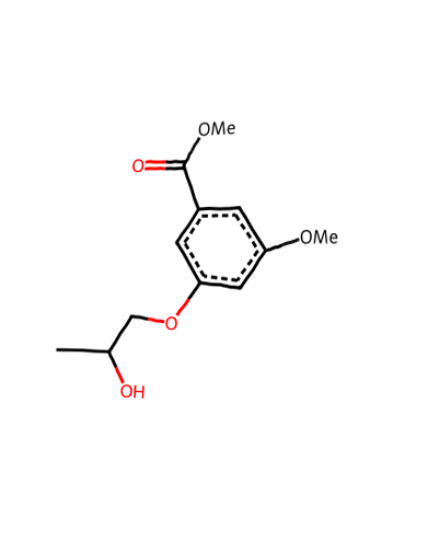 COC(=O)c1cc(OC)cc(OCC(C)O)c1